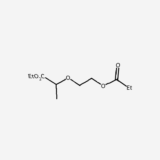 CCOC(=O)C(C)OCCOC(=O)CC